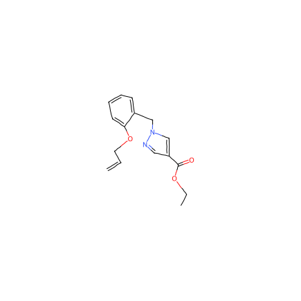 C=CCOc1ccccc1Cn1cc(C(=O)OCC)cn1